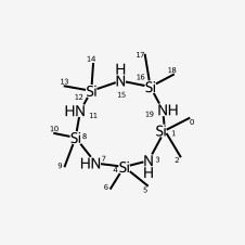 C[Si]1(C)N[Si](C)(C)N[Si](C)(C)N[Si](C)(C)N[Si](C)(C)N1